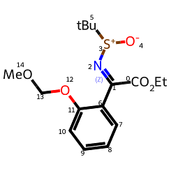 CCOC(=O)/C(=N\[S+]([O-])C(C)(C)C)c1ccccc1OCOC